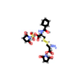 N[C@@H](CSSC[C@H](NC(=O)c1ccccc1)C(=O)OS(=O)(=O)N1C(=O)CCC1=O)C(=O)ON1C(=O)C=CC1=O